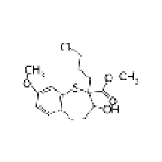 COC(=O)C1(CCCCl)Sc2cc(OC)ccc2CCC1O